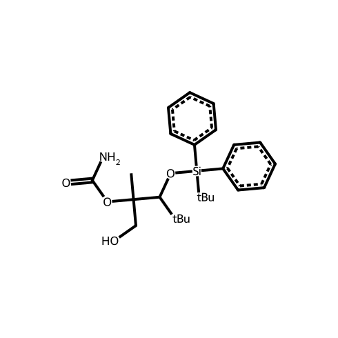 CC(C)(C)C(O[Si](c1ccccc1)(c1ccccc1)C(C)(C)C)C(C)(CO)OC(N)=O